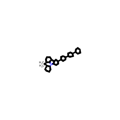 CC1(C)c2ccccc2-n2c3ccc(-c4ccc(-c5ccc(-c6ccccc6)cc5)cc4)cc3c3cccc1c32